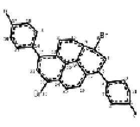 Cc1ccc(-c2cc(Br)c3ccc4c(-c5ccc(C)cc5)cc(Br)c5ccc2c3c54)cc1